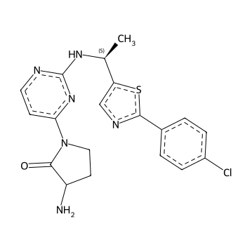 C[C@H](Nc1nccc(N2CCC(N)C2=O)n1)c1cnc(-c2ccc(Cl)cc2)s1